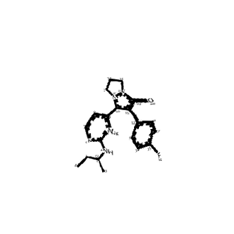 CC[C@H](C)Nc1nccc(-c2c(-c3ccc(F)cc3)c(=O)n3n2CCC3)n1